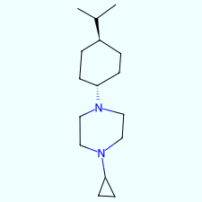 CC(C)[C@H]1CC[C@H](N2CCN(C3CC3)CC2)CC1